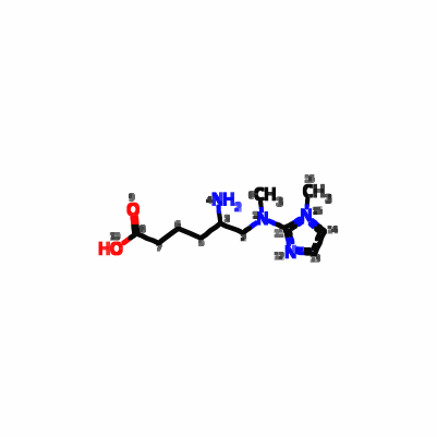 CN(CC(N)CCCC(=O)O)c1nccn1C